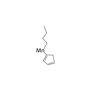 CCC[CH2][Mn][C]1=CC=CC1